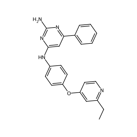 CCc1cc(Oc2ccc(Nc3cc(-c4ccccc4)nc(N)n3)cc2)ccn1